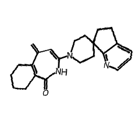 C=C1C=C(N2CCC3(CCc4cccnc43)CC2)NC(=O)C2=C1CCCC2